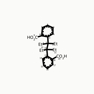 CCC(CC)(c1ccccc1C(=O)O)C(CC)(CC)c1ccccc1C(=O)O